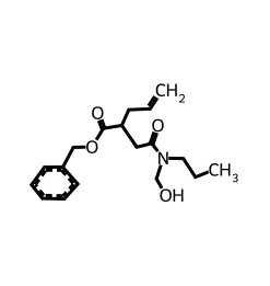 C=CCC(CC(=O)N(CO)CCC)C(=O)OCc1ccccc1